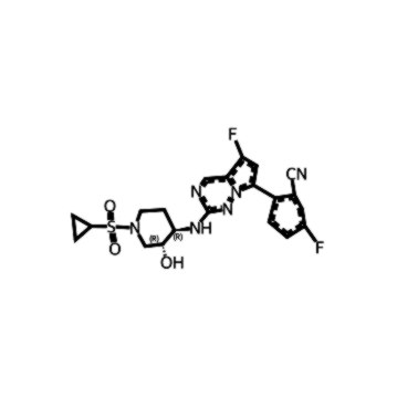 N#Cc1cc(F)ccc1-c1cc(F)c2cnc(N[C@@H]3CCN(S(=O)(=O)C4CC4)C[C@H]3O)nn12